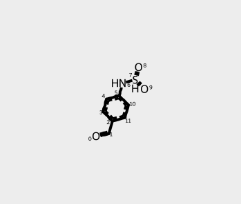 O=Cc1ccc(N[SH](=O)=O)cc1